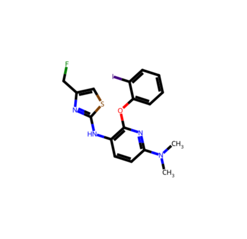 CN(C)c1ccc(Nc2nc(CF)cs2)c(Oc2ccccc2I)n1